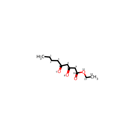 CCCCC(=O)CC(=O)CC(=O)OCC